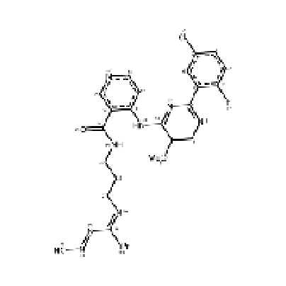 COC1CN=C(c2cc(Cl)ccc2F)N=C1Nc1ccncc1C(=O)NCCCN=C(N=NC#N)C(C)C